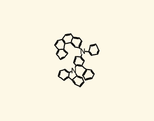 c1ccc(-c2cc(N(c3ccccc3)c3ccc4ccc5ccc6ccccc6c5c4c3)ccc2-n2c3ccccc3c3ccccc32)cc1